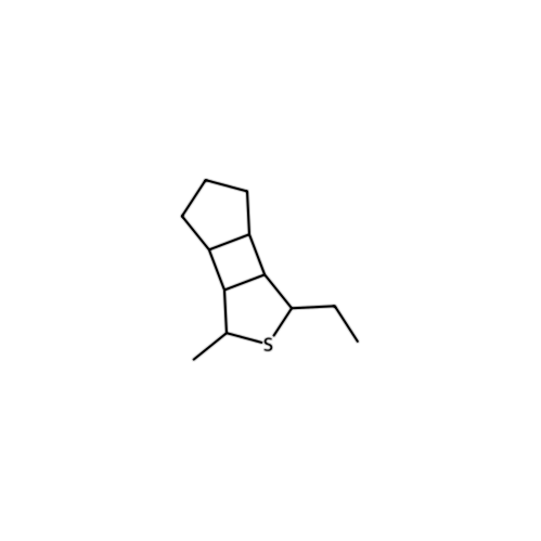 CCC1SC(C)C2C3CCCC3C12